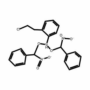 O=[N+]([O-])C(O[SiH](OC(c1ccccc1)[N+](=O)[O-])c1ccccc1CCCl)c1ccccc1